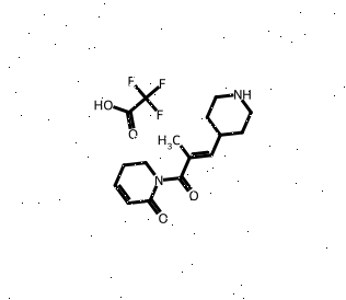 C/C(=C\C1CCNCC1)C(=O)N1CCC=CC1=O.O=C(O)C(F)(F)F